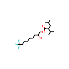 CC(C)CC(C(=O)OCC(O)CCCCCCC(F)(F)F)C(C)C